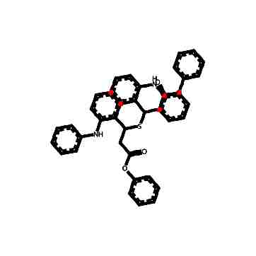 O=C(CC(SC(CC(=O)Oc1ccccc1)c1ccccc1Nc1ccccc1)c1ccccc1Nc1ccccc1)Oc1ccccc1